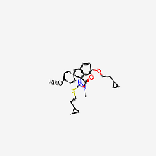 COC1CCC2(CC1)Cc1ccc(OCCC3CC3)cc1C21N=C(SCCC2CC2)N(C)CC1=O